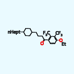 CCCCCCCC1CCC(CCCC(=O)c2ccc(OCC)c(C(F)(F)F)c2C(F)(F)F)CC1